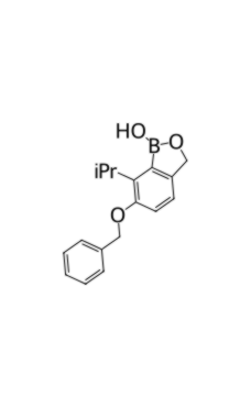 CC(C)c1c(OCc2ccccc2)ccc2c1B(O)OC2